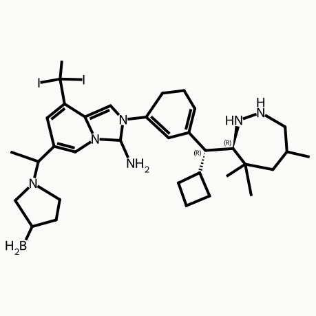 BC1CCN(C(C)C2=CN3C(=CN(C4=CC([C@@H](C5CCC5)[C@H]5NNCC(C)CC5(C)C)=CCC4)C3N)C(C(C)(I)I)=C2)C1